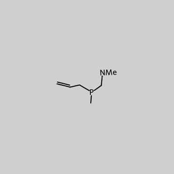 C=CCP(C)CNC